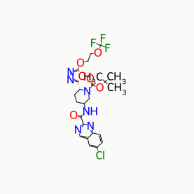 CC(C)(C)OC(=O)N1C[C@@H](NC(=O)c2ncc3cc(Cl)ccc3n2)CC[C@@H]1c1nnc(OCCOC(F)(F)F)o1